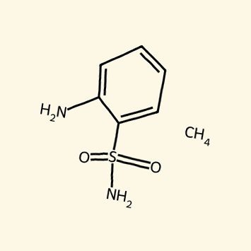 C.Nc1ccccc1S(N)(=O)=O